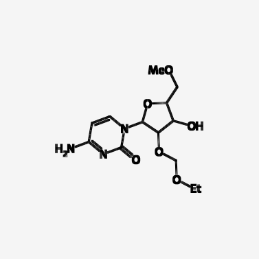 CCOCOC1C(O)C(COC)OC1n1ccc(N)nc1=O